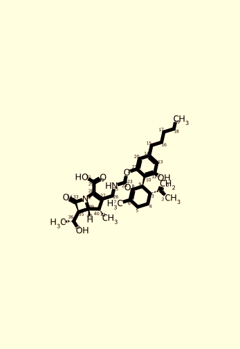 C=C(C)[C@@H]1CCC(C)=C[C@H]1c1c(O)cc(CCCCC)cc1OC(=O)NCC1=C(C(=O)O)N2C(=O)[C@H]([C@@H](C)O)[C@H]2[C@H]1C